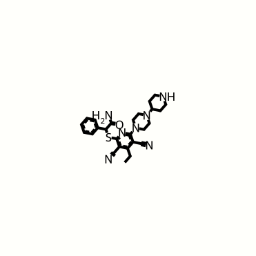 CCc1c(C#N)c(SC(C(N)=O)c2ccccc2)nc(N2CCN(C3CCNCC3)CC2)c1C#N